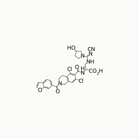 N#C/N=C(/NCC(NC(=O)c1c(Cl)cc2c(c1Cl)CCN(C(=O)c1ccc3ccoc3c1)C2)C(=O)O)N1CC[C@@H](O)C1